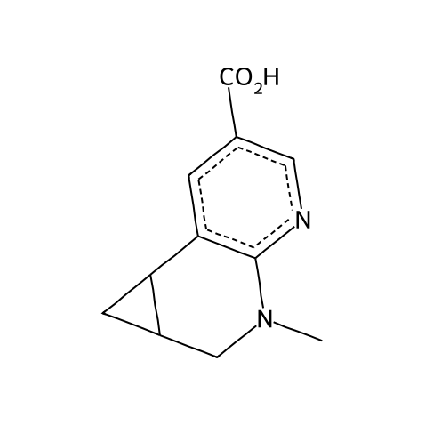 CN1CC2CC2c2cc(C(=O)O)cnc21